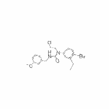 CCc1cc(N(CCCl)C(=O)NCc2cccc(OC)c2)ccc1Br